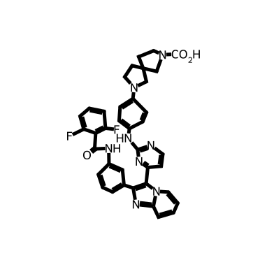 O=C(Nc1cccc(-c2nc3ccccn3c2-c2ccnc(Nc3ccc(N4CCC5(CCN(C(=O)O)C5)C4)cc3)n2)c1)c1c(F)cccc1F